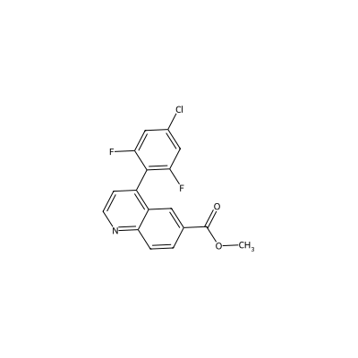 COC(=O)c1ccc2nccc(-c3c(F)cc(Cl)cc3F)c2c1